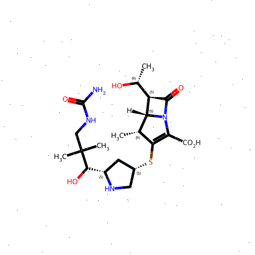 C[C@@H](O)[C@H]1C(=O)N2C(C(=O)O)=C(S[C@@H]3CN[C@H](C(O)C(C)(C)CNC(N)=O)C3)[C@H](C)[C@H]12